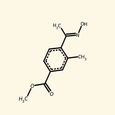 COC(=O)c1ccc(C(C)=NO)c(C)c1